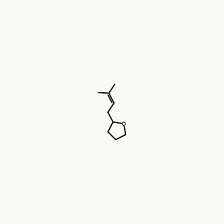 CC(C)=CCC1CCCO1